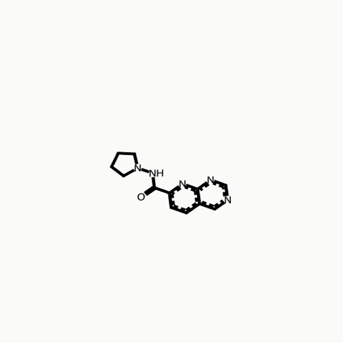 O=C(NN1CCCC1)c1ccc2cncnc2n1